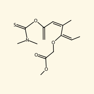 C=C(/C=C(C)\C(=C/C)OCC(=O)OC)OC(=S)N(C)C